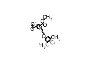 CCOC(=O)c1cc([N+](=O)[O-])cn1CCCOc1cc(C)c(Cl)c(C)c1